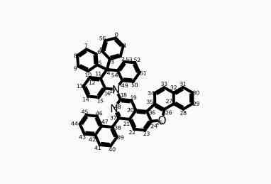 c1ccc(C2(c3ccccc3)c3ccccc3N(c3cc4c(ccc5oc6c7ccccc7ccc6c54)c(-c4cccc5ccccc45)n3)c3ccccc32)cc1